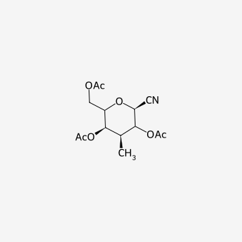 CC(=O)OCC1O[C@@H](C#N)C(OC(C)=O)[C@@H](C)[C@H]1OC(C)=O